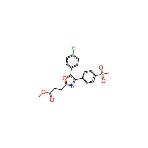 COC(=O)CCc1nc(-c2ccc(S(C)(=O)=O)cc2)c(-c2ccc(F)cc2)o1